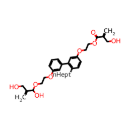 C=C(CO)C(=O)OCCOc1ccc(CCCCCCC)c(-c2cccc(OCCOC(O)C(=C)CO)c2)c1